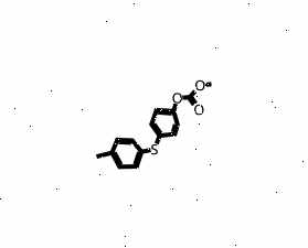 COC(=O)Oc1ccc(Sc2ccc(C)cc2)cc1